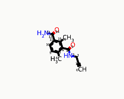 C#CCNC(=O)c1c(C)ccc(C(N)=O)c1C